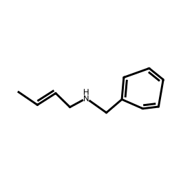 CC=CCNCc1ccccc1